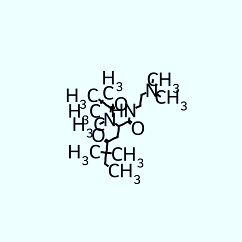 CCC(C)(C)C(=O)CC(C(=O)NCCN(C)C)N(C)C(=O)C(C)(C)C